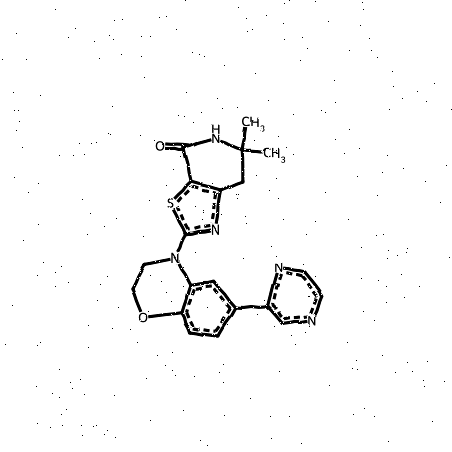 CC1(C)Cc2nc(N3CCOc4ccc(-c5cnccn5)cc43)sc2C(=O)N1